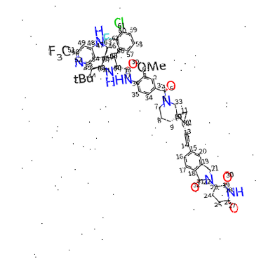 COc1cc(C(=O)N2CCC[C@@]3(C[C@@H]3C#Cc3ccc4c(c3)CN(C3CCC(=O)NC3=O)C4=O)C2)ccc1NC(=O)[C@@H]1N[C@@H](CC(C)(C)C)[C@@]2(CNc3cc(C(F)(F)F)ncc32)[C@H]1c1cccc(Cl)c1F